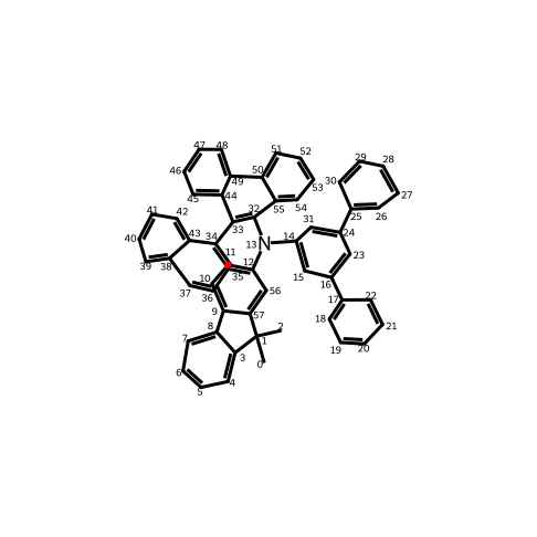 CC1(C)c2ccccc2-c2ccc(N(c3cc(-c4ccccc4)cc(-c4ccccc4)c3)c3c(-c4cccc5ccccc45)c4ccccc4c4ccccc34)cc21